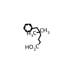 CC(C)(CCCC(=O)O)Cc1ccccc1